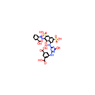 O=C(O)c1cc(Nc2nc(O)nc(Nc3cc(S(=O)(=O)O)cc4cc(S(=O)(=O)O)c(/N=N/c5ccccc5C(=O)O)c(O)c34)n2)cc(C(=O)O)c1